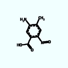 Cc1cc(N=O)c(C(=O)O)cc1N